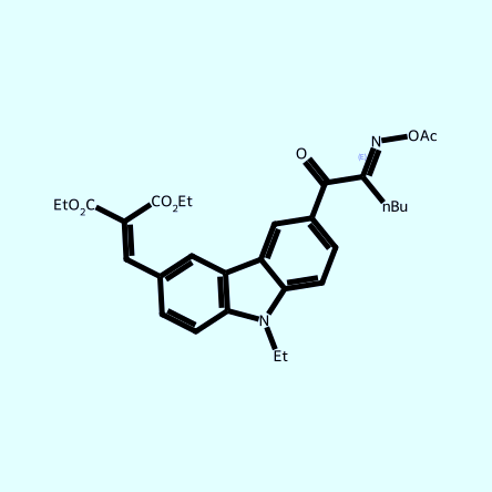 CCCC/C(=N\OC(C)=O)C(=O)c1ccc2c(c1)c1cc(C=C(C(=O)OCC)C(=O)OCC)ccc1n2CC